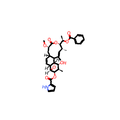 CO[C@H]1C[C@H]2C=C[C@H]3[C@H]4O[C@]2(/C(C)=C/[C@@H](C)[C@@H]([C@@H](C)OC(=O)c2ccccc2)OC1=O)[C@@H]3[C@H](O)[C@@H](C)[C@H]4OC(=O)c1ccc[nH]1